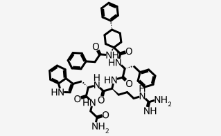 N=C(N)NCCC[C@H](NC(=O)[C@@H](Cc1ccccc1)NC(=O)[C@]1(NC(=O)Cc2ccccc2)CC[C@@H](c2ccccc2)CC1)C(=O)N[C@@H](Cc1c[nH]c2ccccc12)C(=O)NCC(N)=O